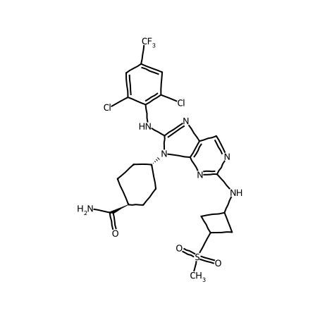 CS(=O)(=O)C1CC(Nc2ncc3nc(Nc4c(Cl)cc(C(F)(F)F)cc4Cl)n([C@H]4CC[C@H](C(N)=O)CC4)c3n2)C1